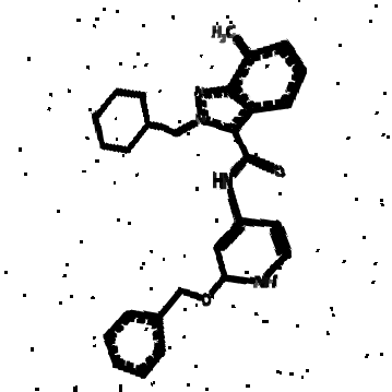 Cc1cccc2c(C(=O)NC3=CC(OCc4ccccc4)NC=C3)n(CC3CCCCC3)nc12